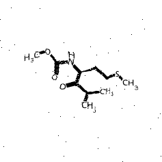 COC(=O)N[C@@H](CCSC)C(=O)C(C)C